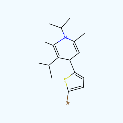 CC1=CC(c2ccc(Br)s2)C(C(C)C)=C(C)N1C(C)C